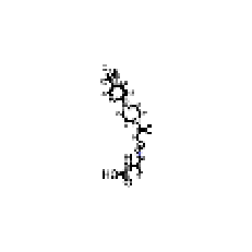 CC(/C=N/OCC(=O)N1CCN(c2ccc(C(F)(F)F)cn2)CC1)NC(=O)O